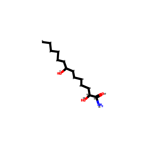 CCCCCCC(O)CCCCCC(O)C(N)=O